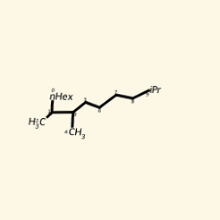 CCCCCC[C](C)C(C)CCCCC(C)C